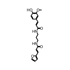 COc1cc(C=CC(=O)NCCCNC(=O)C=Cc2ccco2)ccc1O